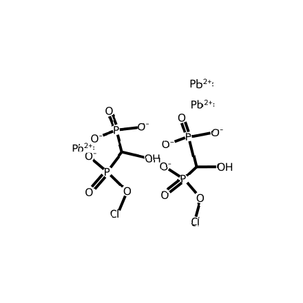 O=P([O-])([O-])C(O)P(=O)([O-])OCl.O=P([O-])([O-])C(O)P(=O)([O-])OCl.[Pb+2].[Pb+2].[Pb+2]